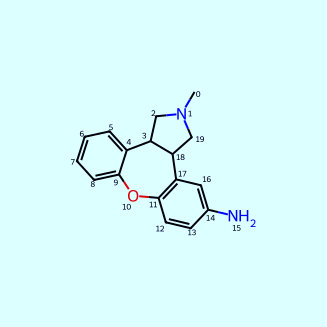 CN1CC2c3ccccc3Oc3ccc(N)cc3C2C1